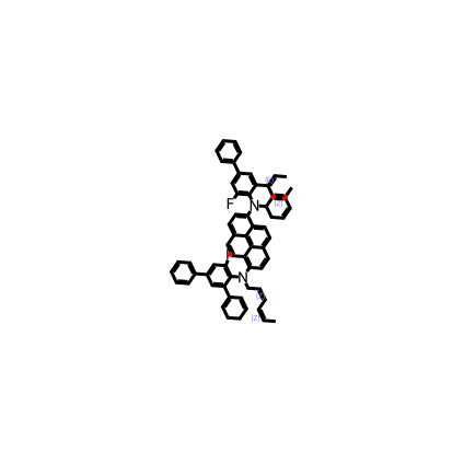 C/C=C\C=C/CN(c1c(F)cc(-c2ccccc2)cc1C1=CCCC=C1)c1ccc2ccc3c(N(c4c(F)cc(-c5ccccc5)cc4C(/C=C\C)=C/C)C4C=CC=CC4)ccc4ccc1c2c43